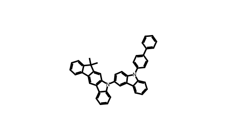 CC1(C)c2ccccc2-c2cc3c4ccccc4n(-c4ccc5c(c4)c4ccccc4n5-c4ccc(-c5ccccc5)cc4)c3cc21